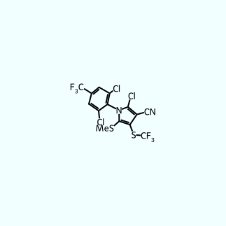 CSc1c(SC(F)(F)F)c(C#N)c(Cl)n1-c1c(Cl)cc(C(F)(F)F)cc1Cl